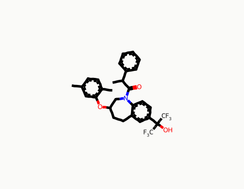 Cc1ccc(C)c(OC2CCc3cc(C(O)(C(F)(F)F)C(F)(F)F)ccc3N(C(=O)C(C)c3ccccc3)C2)c1